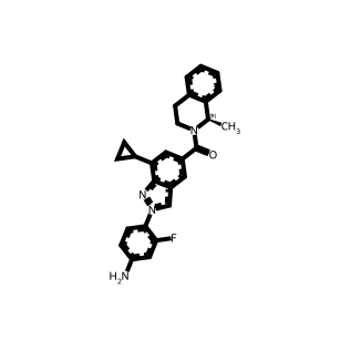 C[C@@H]1c2ccccc2CCN1C(=O)c1cc(C2CC2)c2nn(-c3ccc(N)cc3F)cc2c1